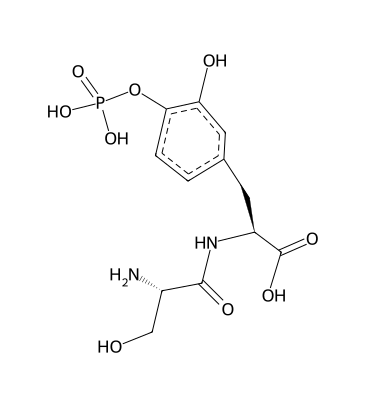 N[C@@H](CO)C(=O)N[C@@H](Cc1ccc(OP(=O)(O)O)c(O)c1)C(=O)O